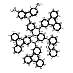 CC(C)(C)c1ccc2c(c1)c1cc(C(C)(C)C)ccc1n2-c1ccc2c(c1)N(c1ccc3c4ccccc4c4ccccc4c3c1)c1cc(-c3cccc4c3oc3ccccc34)cc3c1B2c1cc2c4ccccc4c4ccccc4c2cc1N3c1ccc2c3ccccc3c3ccccc3c2c1